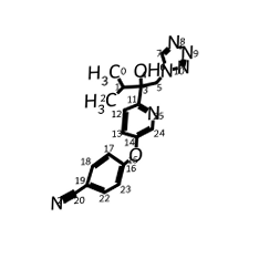 CC(C)C(O)(Cn1cnnn1)c1ccc(Oc2ccc(C#N)cc2)cn1